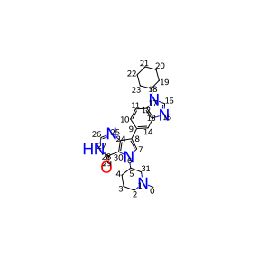 CN1CCCC(n2cc(-c3ccc4c(c3)ncn4C3CCCCC3)c3nc[nH]c(=O)c32)C1